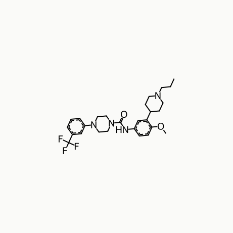 CCCN1CCC(c2cc(NC(=O)N3CCN(c4cccc(C(F)(F)F)c4)CC3)ccc2OC)CC1